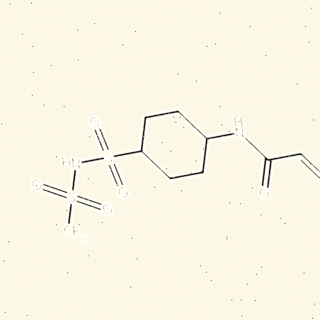 C=CC(=O)NC1CCC(S(=O)(=O)NS(=O)(=O)C(F)(F)F)CC1